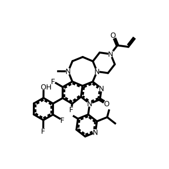 C=CC(=O)N1CCN2c3nc(=O)n(-c4c(C)ccnc4C(C)C)c4c(F)c(-c5c(O)ccc(F)c5F)c(F)c(c34)N(C)CCC2C1